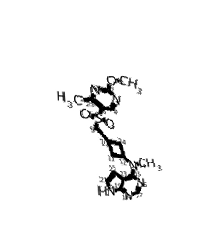 COc1ncc(S(=O)(=O)CC2CC(N(C)c3ncnc4[nH]ccc34)C2)c(C)n1